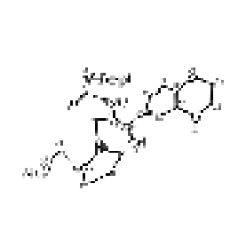 CCCCCCCC(=O)N[C@H](CN1CCC[C@@H]1COC)[C@H](O)c1ccc2c(c1)OCCO2